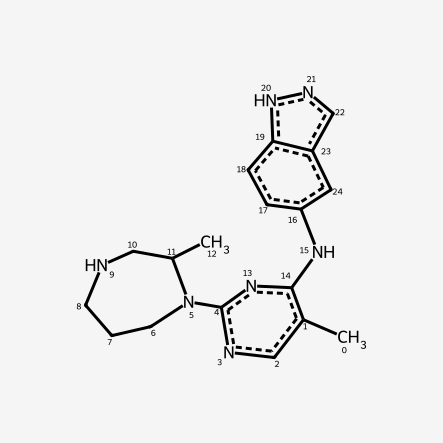 Cc1cnc(N2CCCNCC2C)nc1Nc1ccc2[nH]ncc2c1